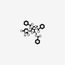 C=C=C[C@@]1(OC(=O)c2ccccc2)C(OC(=O)c2ccccc2)[C@@H](COC(=O)c2ccccc2)O[C@H]1n1ccc(=O)[nH]c1=O